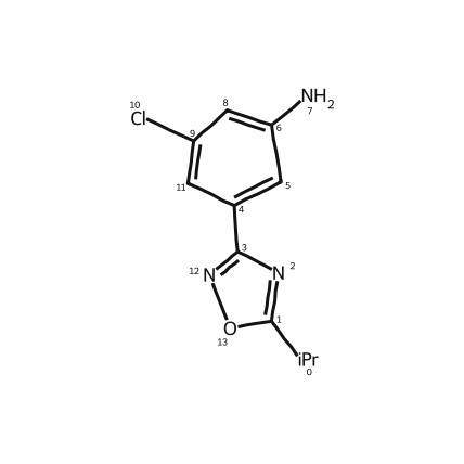 CC(C)c1nc(-c2cc(N)cc(Cl)c2)no1